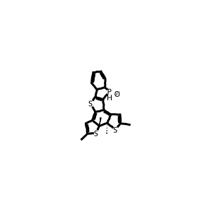 CC1=CC2=c3sc4c(c3=C3C=C(C)S[C@@]3(C)[C@]2(C)S1)[PH](=O)C1C=CC=CC41